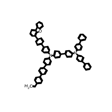 C=Cc1ccc(-c2ccc(-c3ccc(N(c4ccc(-c5ccc(-c6cccc7c6oc6ccccc67)cc5)cc4)c4ccc(-c5ccc(N(c6ccc(-c7ccccc7)cc6)c6ccc(-c7ccccc7)cc6)cc5)cc4)cc3)cc2)cc1